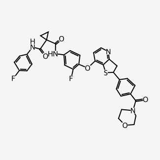 O=C(c1ccc(C2Cc3nccc(Oc4ccc(NC(=O)C5(C(=O)Nc6ccc(F)cc6)CC5)cc4F)c3S2)cc1)N1CCOCC1